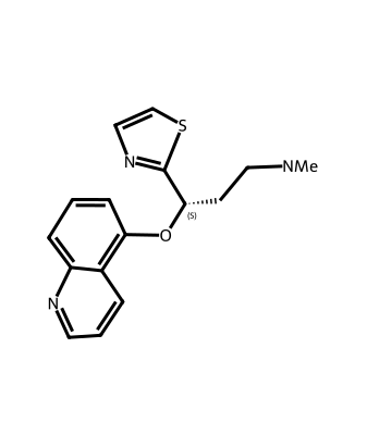 CNCC[C@H](Oc1cccc2ncccc12)c1nccs1